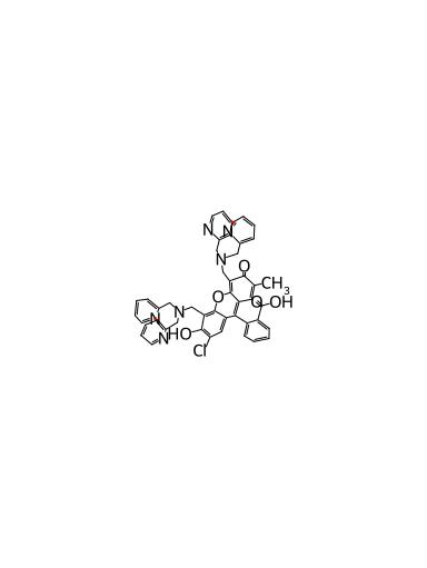 Cc1cc2c(-c3ccccc3C(=O)O)c3cc(Cl)c(O)c(CN(Cc4ccccn4)Cc4ccccn4)c3oc-2c(CN(Cc2ccccn2)Cc2ccccn2)c1=O